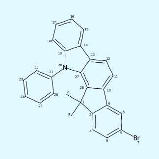 CC1(C)c2ccc(Br)cc2-c2ccc3c4ccccc4n(-c4ccccc4)c3c21